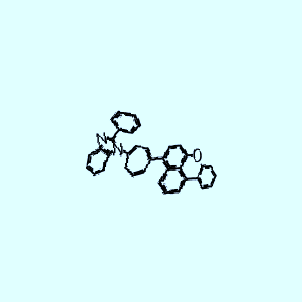 C1=CC(c2ccc3c4c(cccc24)-c2ccccc2O3)=CC=C(n2c(-c3ccccc3)nc3ccccc32)C1